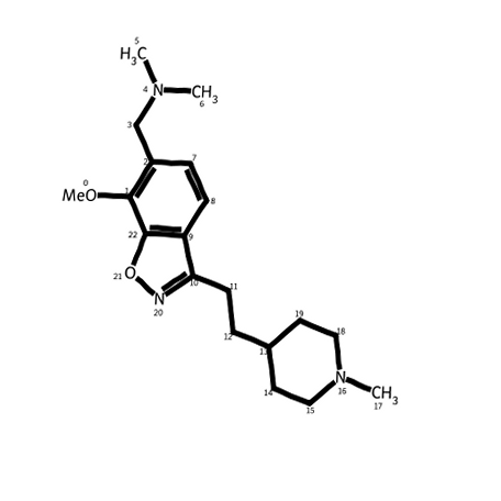 COc1c(CN(C)C)ccc2c(CCC3CCN(C)CC3)noc12